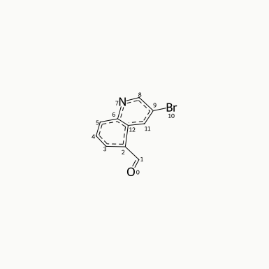 O=Cc1cccc2ncc(Br)cc12